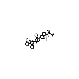 CC1(c2cc(Cl)c(Cl)c(Cl)c2)CC(=O)N(c2ccc3c(c2)CCC3NC(=O)C2CC2)C1